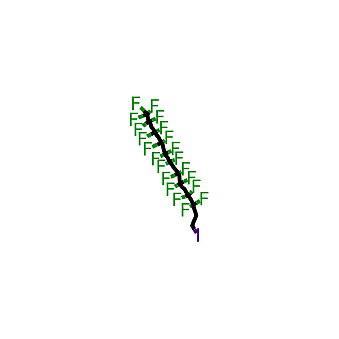 FC(F)(F)C(F)(F)C(F)(F)C(F)(F)C(F)(F)C(F)(F)C(F)(F)C(F)(F)C(F)(F)C(F)(F)CCI